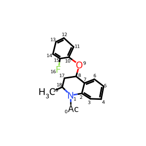 CC(=O)N1c2ccccc2C(Oc2ccccc2F)CC1C